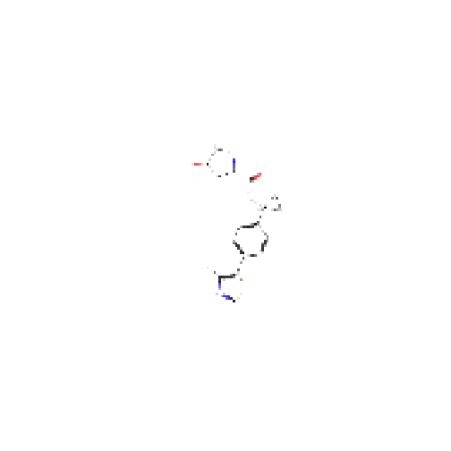 Cc1ncsc1-c1ccc(C2(NC(=O)[C@@H]3C[C@@H](O)CN3)CC2)cc1.Cl